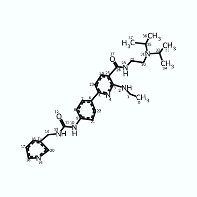 CCNc1nc(-c2ccc(NC(=O)NCc3cccnc3)cc2)ccc1C(=O)NCCN(C(C)C)C(C)C